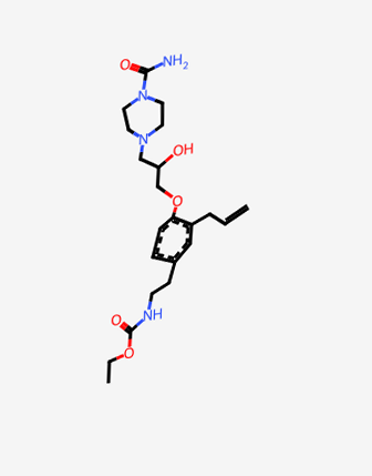 C=CCc1cc(CCNC(=O)OCC)ccc1OCC(O)CN1CCN(C(N)=O)CC1